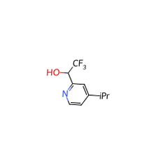 CC(C)c1ccnc(C(O)C(F)(F)F)c1